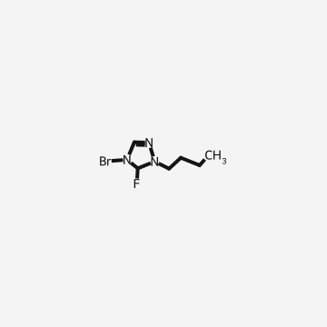 CCCCN1N=CN(Br)C1F